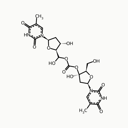 Cc1cn([C@H]2C[C@H](O)[C@@H](C(O)OC(=O)O[C@]3(O)C[C@H](n4cc(C)c(=O)[nH]c4=O)O[C@@H]3CO)O2)c(=O)[nH]c1=O